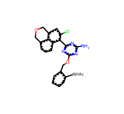 CC(=O)Nc1ccccc1COc1nc(N)nc(-c2c(Cl)cc3c4c(cccc24)COC3)n1